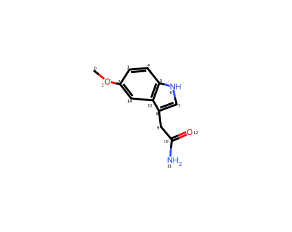 COc1ccc2[nH]cc(CC(N)=O)c2c1